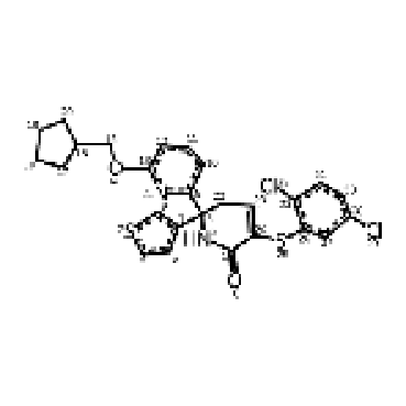 O=C1NC(c2ccsc2)(c2cccc(OCC3CCCC3)n2)C[C]=C1Sc1cc(Cl)ccc1Cl